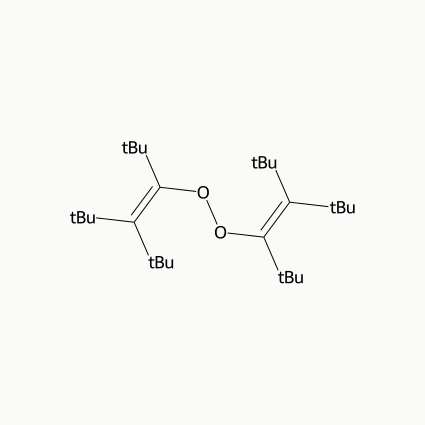 CC(C)(C)C(OOC(=C(C(C)(C)C)C(C)(C)C)C(C)(C)C)=C(C(C)(C)C)C(C)(C)C